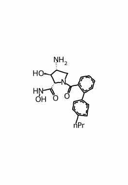 CCCc1ccc(-c2ccccc2C(=O)N2C[C@@H](N)[C@H](O)[C@H]2C(=O)NO)cc1